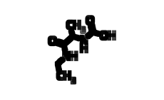 CCNC(=O)C(C)NC(=O)O